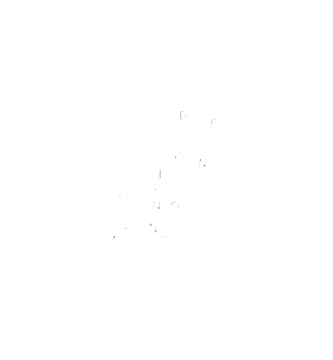 COc1ccc(CN(c2ccon2)S(=O)(=O)c2cc3ccc(=O)n(-c4cc(F)c(Br)cc4OC)c3cc2F)c(OC)c1